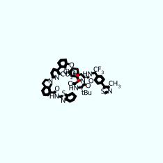 Cc1ncsc1-c1ccc([C@@H](NC(=O)[C@@H]2C[C@@H](O)CN2C(=O)[C@@H](NC(=O)CC2CCC(Oc3cccc(-c4ccc(N5CCc6cccc(C(=O)Nc7nc8ccccc8s7)c6C5)nc4C(=O)O)c3C)CC2)C(C)(C)C)C(F)(F)F)cc1